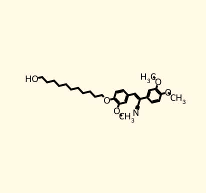 COc1ccc(C(C#N)=Cc2ccc(OCCCCCCCCCCCO)c(OC)c2)cc1OC